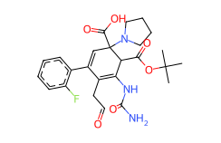 CC(C)(C)OC(=O)C1C(NC(N)=O)=C(CC=O)C(c2ccccc2F)=CC1(C(=O)O)N1CCCC1